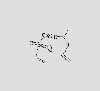 C=COC(C)=O.C=CS(=O)(=O)O